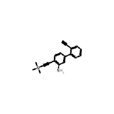 C#Cc1ccccc1-c1ccc(C#C[Si](C)(C)C)c(N)c1